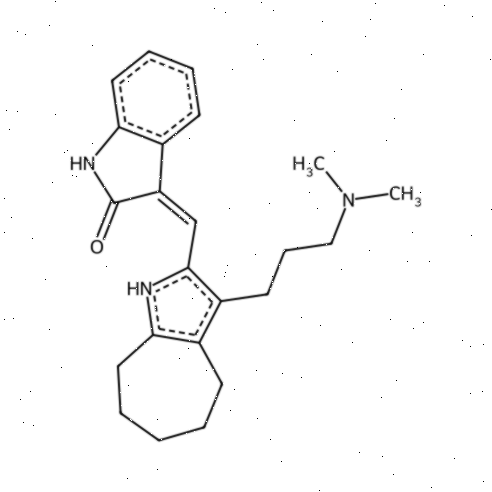 CN(C)CCCc1c(/C=C2\C(=O)Nc3ccccc32)[nH]c2c1CCCCC2